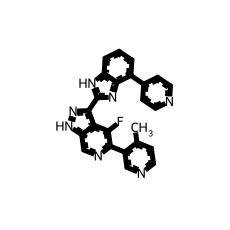 Cc1ccncc1-c1ncc2[nH]nc(-c3nc4c(-c5ccncc5)cccc4[nH]3)c2c1F